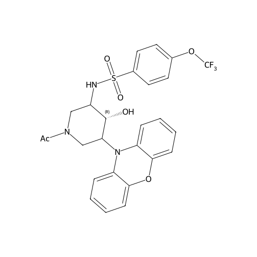 CC(=O)N1CC(NS(=O)(=O)c2ccc(OC(F)(F)F)cc2)[C@H](O)C(N2c3ccccc3Oc3ccccc32)C1